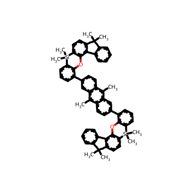 Cc1c2ccc(-c3cccc4c3Oc3c(ccc5c3-c3ccccc3C5(C)C)[Si]4(C)C)cc2c(C)c2ccc(-c3cccc4c3Oc3c(ccc5c3-c3ccccc3C5(C)C)[Si]4(C)C)cc12